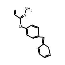 C=CC(=NN)Oc1ccc(C=C2[C]=CC=CC2)cc1